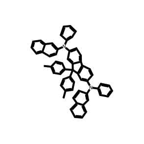 Cc1ccc(C2(c3ccc(C)cc3)c3cc(N(c4ccccc4)c4ccc5ccccc5c4)ccc3-c3ccc(N(c4ccccc4)c4ccc5ccccc5c4)cc32)cc1